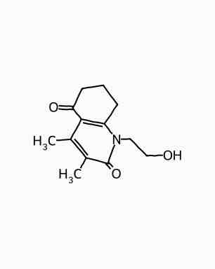 Cc1c2c(n(CCO)c(=O)c1C)CCCC2=O